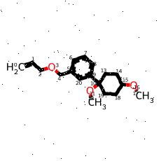 C=CCOCc1cccc(C2(OC)CCC(OC)CC2)c1